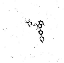 CN1CCN(c2ccc(-c3cc4nccnc4c(OC[C@@H]4CN(C)C(=O)CO4)n3)cc2)CC1